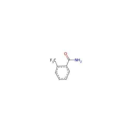 NC(=O)c1ccccc1C(F)(F)F